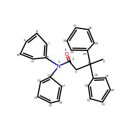 CC(CC(=O)N(c1ccccc1)c1ccccc1)(c1ccccc1)c1ccccc1